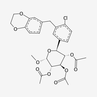 CO[C@@H]1O[C@@H](c2ccc(Cl)c(Cc3ccc4c(c3)OCCO4)c2)[C@H](OC(C)=O)[C@@H](OC(C)=O)[C@@H]1OC(C)=O